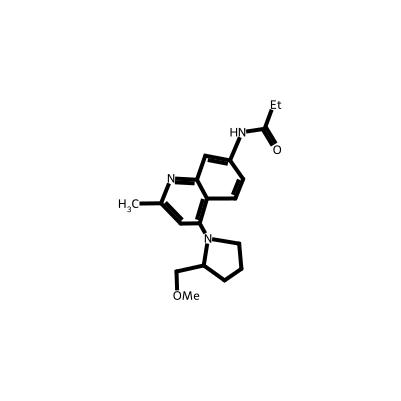 CCC(=O)Nc1ccc2c(N3CCCC3COC)cc(C)nc2c1